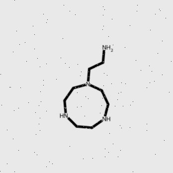 NCCN1CCNCCNCC1